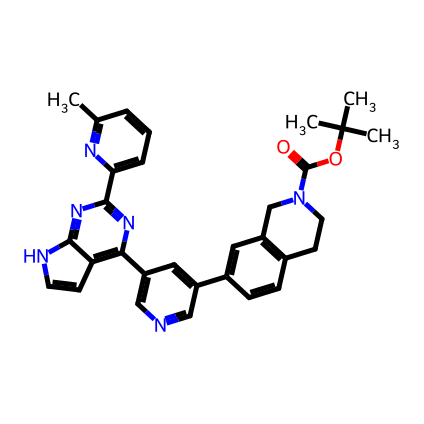 Cc1cccc(-c2nc(-c3cncc(-c4ccc5c(c4)CN(C(=O)OC(C)(C)C)CC5)c3)c3cc[nH]c3n2)n1